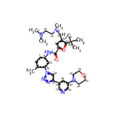 Cc1ccc(NC(=O)c2cc(CN(C)CCN(C)C)c(C(C)(C)C)o2)cc1-n1cc(-c2cncc(N3CCOCC3)c2)nn1